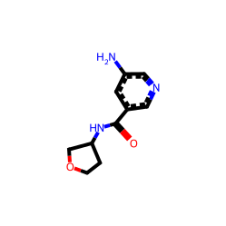 Nc1cncc(C(=O)NC2CCOC2)c1